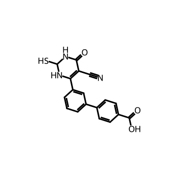 N#CC1=C(c2cccc(-c3ccc(C(=O)O)cc3)c2)NC(S)NC1=O